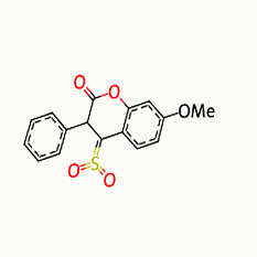 COc1ccc2c(c1)OC(=O)C(c1ccccc1)C2=S(=O)=O